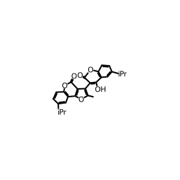 Cc1oc2c(c1-c1c(O)c3cc(C(C)C)ccc3oc1=O)c(=O)oc1ccc(C(C)C)cc12